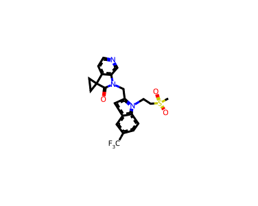 CS(=O)(=O)CCn1c(CN2C(=O)C3(CC3)c3ccncc32)cc2cc(C(F)(F)F)ccc21